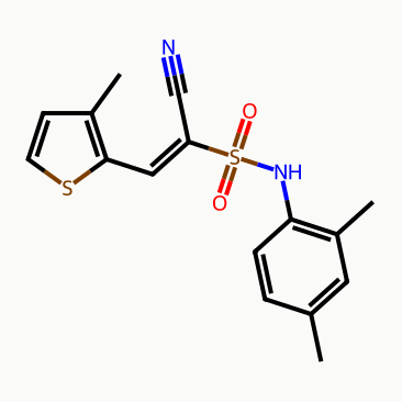 Cc1ccc(NS(=O)(=O)C(C#N)=Cc2sccc2C)c(C)c1